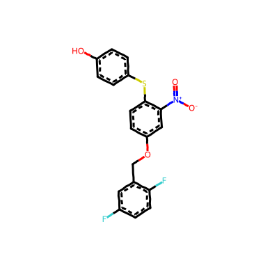 O=[N+]([O-])c1cc(OCc2cc(F)ccc2F)ccc1Sc1ccc(O)cc1